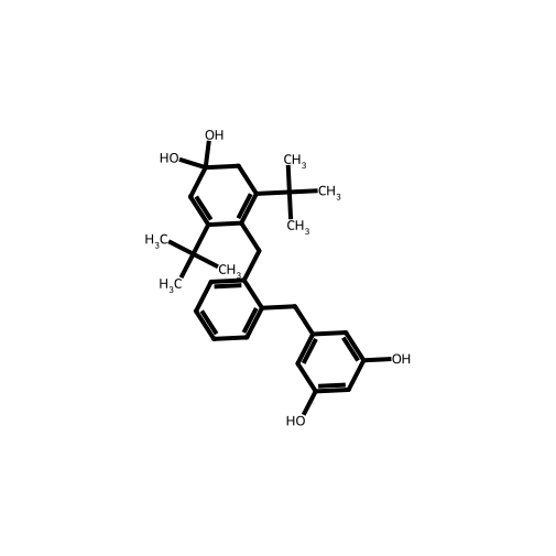 CC(C)(C)C1=CC(O)(O)CC(C(C)(C)C)=C1Cc1ccccc1Cc1cc(O)cc(O)c1